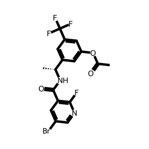 CC(=O)Oc1cc([C@@H](C)NC(=O)c2cc(Br)cnc2F)cc(C(F)(F)F)c1